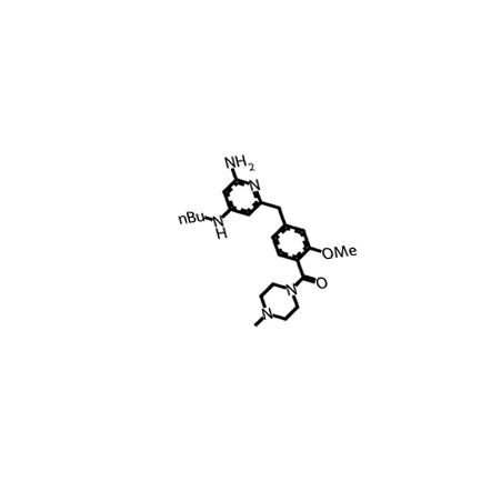 CCCCNc1cc(N)nc(Cc2ccc(C(=O)N3CCN(C)CC3)c(OC)c2)c1